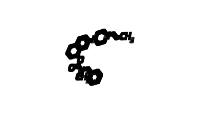 CCCN1CCN(c2ccc3c(c2)C(OC(=O)N(C)Cc2ccccc2)CCC3)CC1